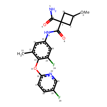 COC1CC(C(N)=O)(C(=O)Nc2cc(C)c(Oc3ccc(F)cn3)c(F)c2)C1